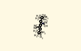 Bc1c(C)cc(P)c(-c2ccc3c(c2)C(=C(C#N)C#N)c2cc4c(cc2-3)/C(=C(\C#C)C#N)c2cc(-c3c(P)c(P)c(C)c(P)c3P)ccc2-4)c1B